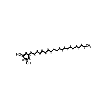 CCCCCCCCCCCCCCCCCCCCCc1cc(O)cc(O)c1